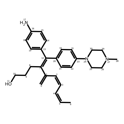 C=C(/C=C\C=C/C)/C(CCCO)=C(/c1ccc(N)cc1)c1ccc(N2CCN(C)CC2)cc1